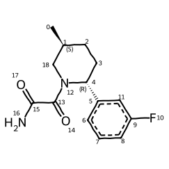 C[C@H]1CC[C@H](c2cccc(F)c2)N(C(=O)C(N)=O)C1